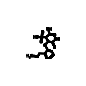 C=CCc1ccccc1OC(C(=O)O)C(C(=O)O)S(=O)(=O)O